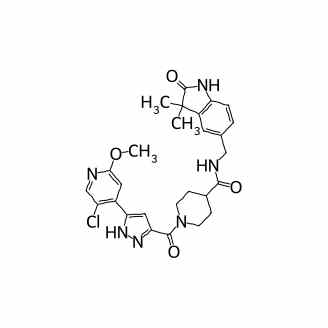 COc1cc(-c2cc(C(=O)N3CCC(C(=O)NCc4ccc5c(c4)C(C)(C)C(=O)N5)CC3)n[nH]2)c(Cl)cn1